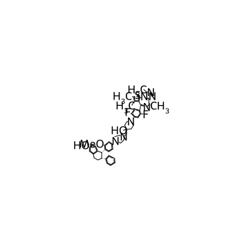 COc1cc(N2CCN(CC3(O)CCN(c4cc(F)c(C5=N[C@@H](C)c6nnc(C)n6-c6sc(C)c(C)c65)cc4F)CC3)CC2)ccc1[C@H]1c2ccc(O)cc2CC[C@H]1c1ccccc1